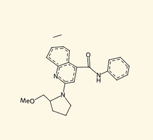 CC.COCC1CCCN1c1cc(C(=O)Nc2ccccc2)c2ccccc2n1